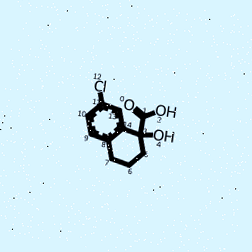 O=C(O)C1(O)CCCc2ccc(Cl)cc21